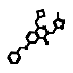 Cc1cc(Cn2nc(CC3CCC3)c3ccc(SCc4ccccc4)cc3c2=O)on1